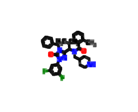 Cc1ccccc1C(=O)N(CC1CCNCC1)C(c1nn(-c2cc(F)cc(F)c2)c(=O)n1Cc1ccccc1)C(C)C